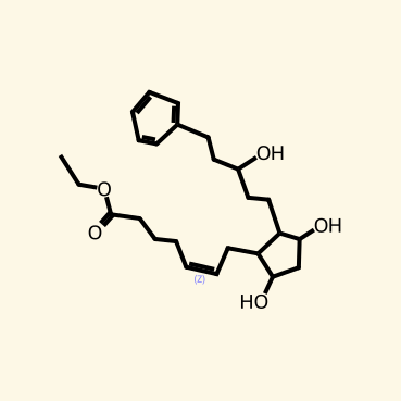 CCOC(=O)CCC/C=C\CC1C(O)CC(O)C1CCC(O)CCc1ccccc1